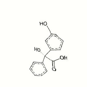 O=C(O)[C@@](O)(c1ccccc1)c1cccc(O)c1